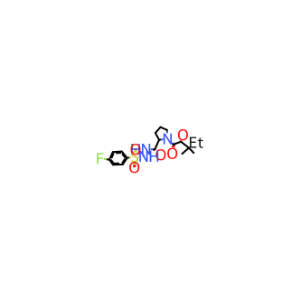 CCC(C)(C)C(=O)C(=O)N1CCCC1C(=O)NNS(=O)(=O)c1ccc(F)cc1